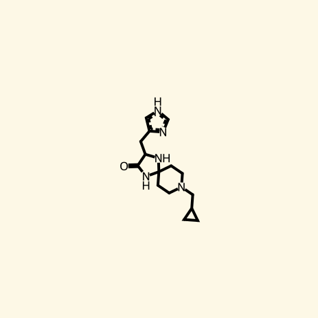 O=C1NC2(CCN(CC3CC3)CC2)NC1Cc1c[nH]cn1